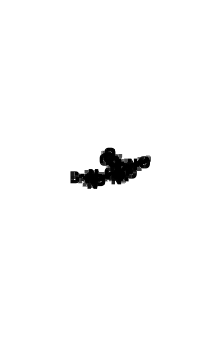 COCCN[S+]([O-])Nc1ncnc(OCCOc2ncc(Br)cn2)c1-c1ccc2c(c1)OCO2